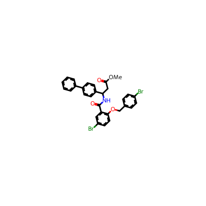 COC(=O)CC(NC(=O)c1cc(Br)ccc1OCc1ccc(Br)cc1)c1ccc(-c2ccccc2)cc1